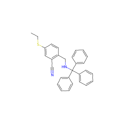 CCSc1ccc(CNC(c2ccccc2)(c2ccccc2)c2ccccc2)c(C#N)c1